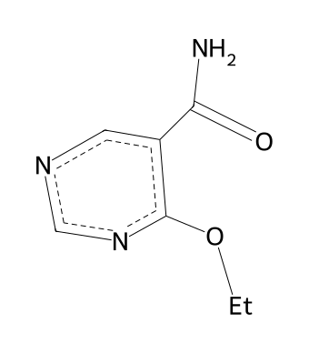 CCOc1ncncc1C(N)=O